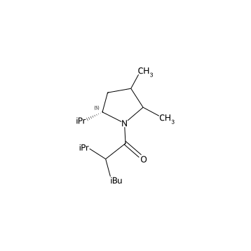 CCC(C)C(C(=O)N1C(C)C(C)C[C@H]1C(C)C)C(C)C